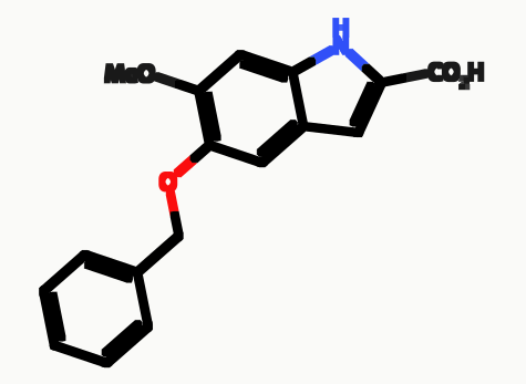 COc1cc2[nH]c(C(=O)O)cc2cc1OCc1ccccc1